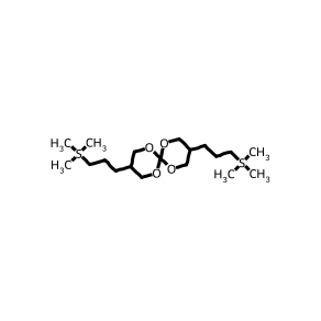 CS(C)(C)CCCC1COC2(OC1)OCC(CCCS(C)(C)C)CO2